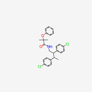 CC(c1ccc(Cl)cc1)C(CNC(=O)C(C)(C)Oc1ccccc1)c1ccc(Cl)cc1